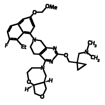 CCc1c(F)ccc2cc(OCOC)cc(N3CCc4c(nc(OCC5(CN(C)C)CC5)nc4N4CCO[C@@H]5COC[C@@H]5C4)C3)c12